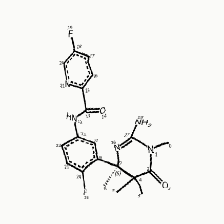 CN1C(=O)C(C)(C)[C@@](C)(c2cc(NC(=O)c3ccc(F)cn3)ccc2F)N=C1N